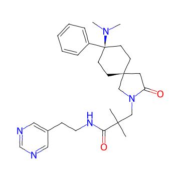 CN(C)[C@]1(c2ccccc2)CC[C@@]2(CC1)CC(=O)N(CC(C)(C)C(=O)NCCc1cncnc1)C2